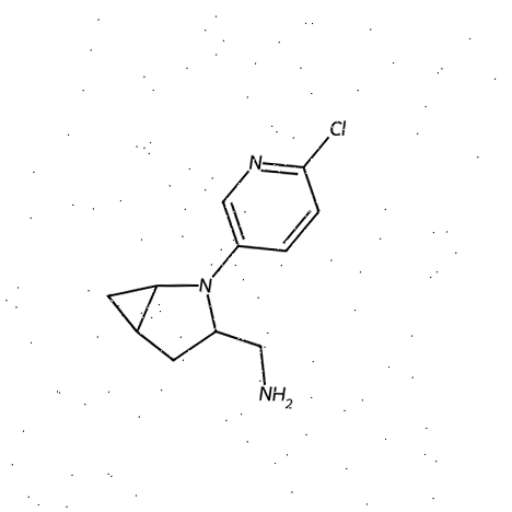 NCC1CC2CC2N1c1ccc(Cl)nc1